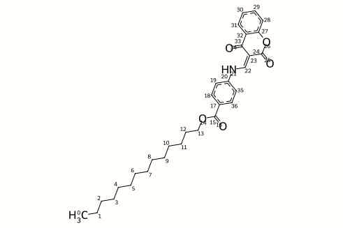 CCCCCCCCCCCCCCOC(=O)c1ccc(NC=C2C(=O)Oc3ccccc3C2=O)cc1